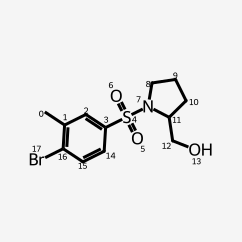 Cc1cc(S(=O)(=O)N2CCCC2CO)ccc1Br